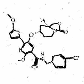 COc1ccc(-c2nc(OC)c(C(=O)NCc3ccc(Cl)cc3)cc2O[C@H]2CCN3C(=O)OC[C@@H]3C2)s1